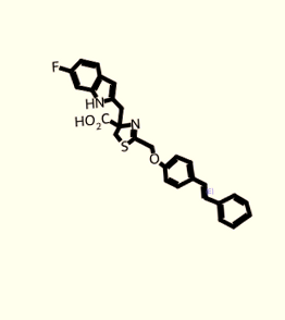 O=C(O)C1(Cc2cc3ccc(F)cc3[nH]2)CSC(COc2ccc(/C=C/c3ccccc3)cc2)=N1